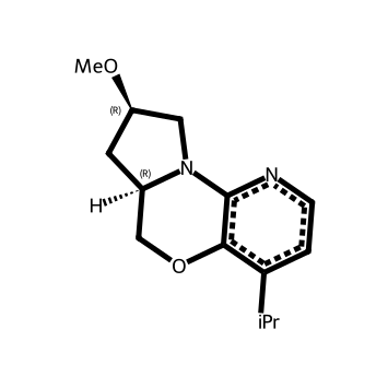 CO[C@@H]1C[C@@H]2COc3c(C(C)C)ccnc3N2C1